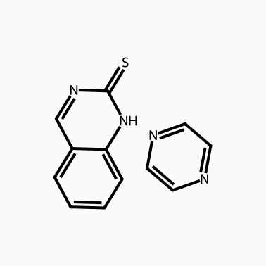 S=c1ncc2ccccc2[nH]1.c1cnccn1